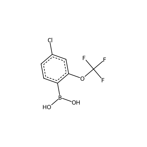 OB(O)c1ccc(Cl)cc1OC(F)(F)F